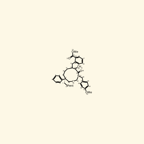 CCCC(C)C[C@]1(c2ccccc2)CCCC(Cc2ccccc2C(=O)OC)C(C)C(=O)N(Cc2ccc(OC)cc2)CCC1